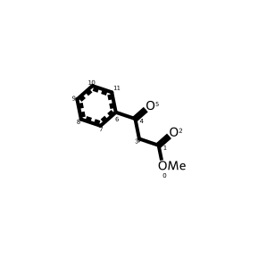 COC(=O)[CH]C(=O)c1ccccc1